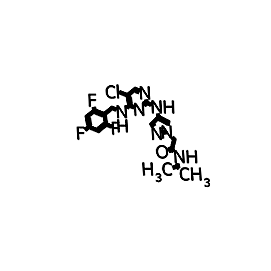 CC(C)NC(=O)Cn1cc(Nc2ncc(Cl)c(NCc3c(F)cc(F)cc3F)n2)cn1